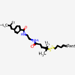 CCCC(C)CCCCSSC(C)(C)CCC(=O)NCCNC(=O)c1ccc(/C=C(/C)CC)cc1